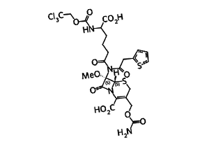 CO[C@@]1(N(C(=O)CCCC(NC(=O)OCC(Cl)(Cl)Cl)C(=O)O)C(=O)Cc2cccs2)C(=O)N2C(C(=O)O)=C(COC(N)=O)CS[C@H]21